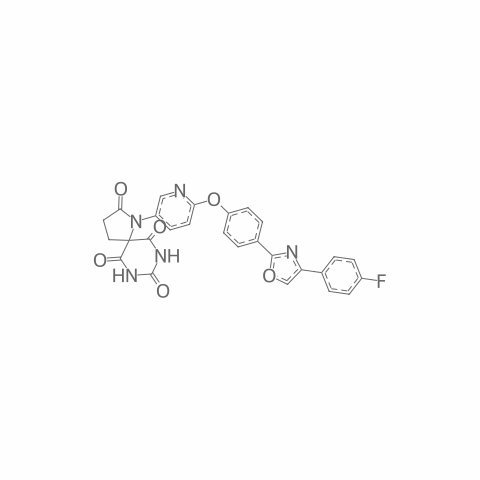 O=C1NC(=O)C2(CCC(=O)N2c2ccc(Oc3ccc(-c4nc(-c5ccc(F)cc5)co4)cc3)nc2)C(=O)N1